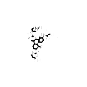 C=CC(=O)Nc1cccc(-c2nc(Nc3cnn(C)c3)ncc2-c2ccc(Oc3nccc(C)n3)c(F)c2)c1C